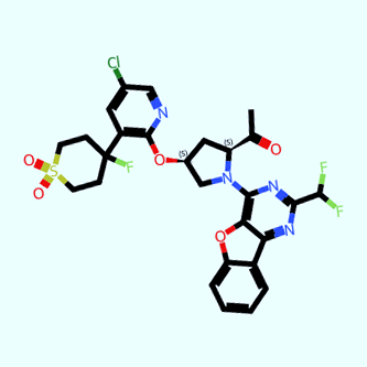 CC(=O)[C@@H]1C[C@H](Oc2ncc(Cl)cc2C2(F)CCS(=O)(=O)CC2)CN1c1nc(C(F)F)nc2c1oc1ccccc12